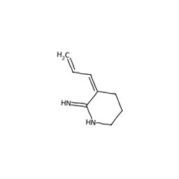 C=C/C=C1/CCCNC1=N